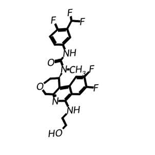 CN(C(=O)Nc1ccc(F)c(C(F)F)c1)[C@@H]1COCc2nc(NCCO)c3cc(F)c(F)cc3c21